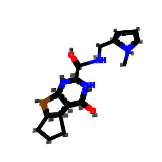 Cn1cccc1CNC(=O)c1nc2sc3c(c2c(=O)[nH]1)CCC3